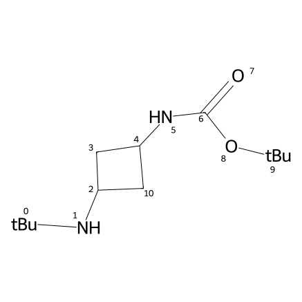 CC(C)(C)NC1CC(NC(=O)OC(C)(C)C)C1